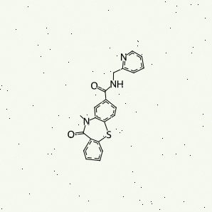 CN1C(=O)c2ccccc2Sc2ccc(C(=O)NCc3ccccn3)cc21